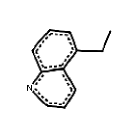 CCc1cccc2ncc[c]c12